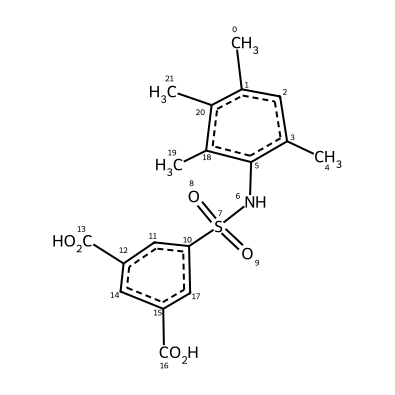 Cc1cc(C)c(NS(=O)(=O)c2cc(C(=O)O)cc(C(=O)O)c2)c(C)c1C